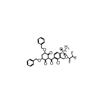 CS(=O)(=O)c1ccc(C(=O)C2C(=O)C(OCc3ccccc3)CC(OCc3ccccc3)C2=O)c(Cl)c1COC(F)C(F)F